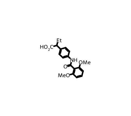 CCC(C(=O)O)c1ccc(NC(=O)c2c(OC)cccc2OC)cc1